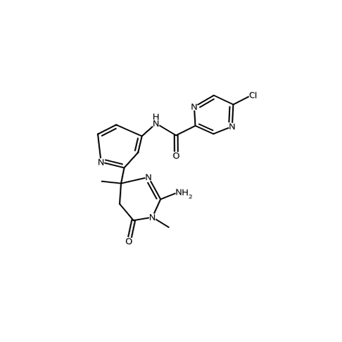 CN1C(=O)CC(C)(c2cc(NC(=O)c3cnc(Cl)cn3)ccn2)N=C1N